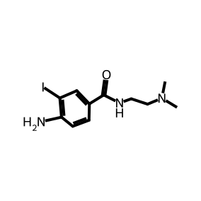 CN(C)CCNC(=O)c1ccc(N)c(I)c1